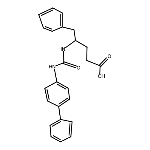 O=C(O)CCC(Cc1ccccc1)NC(=O)Nc1ccc(-c2ccccc2)cc1